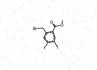 COC(=O)c1cc(I)c(F)cc1CBr